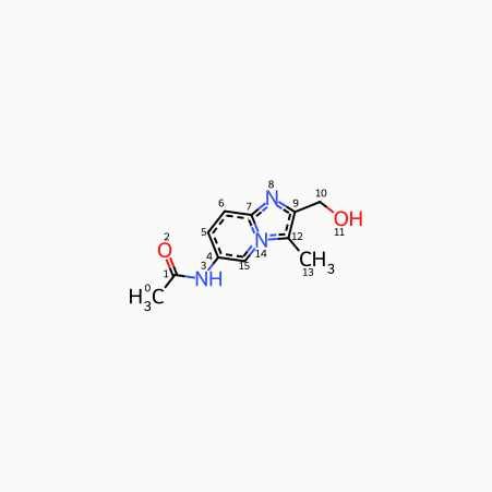 CC(=O)Nc1ccc2nc(CO)c(C)n2c1